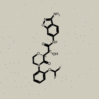 Nc1noc2cc(NC(=O)[C@H](O)[C@H]3OCCN(c4ccccc4OC(F)F)C3=O)ccc12